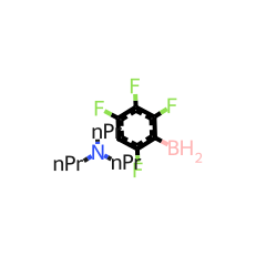 Bc1c(F)cc(F)c(F)c1F.CCCN(CCC)CCC